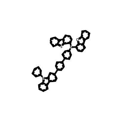 c1ccc(-n2c3ccccc3c3ccc(-c4ccc(-c5ccc(N(c6cccc7c6oc6ccccc67)c6cccc7c6sc6ccccc67)cc5)cc4)cc32)cc1